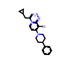 C=C(CC1CC1)n1ccc(N2CCC(c3ccccc3)CC2)c(CC)/c1=N/N